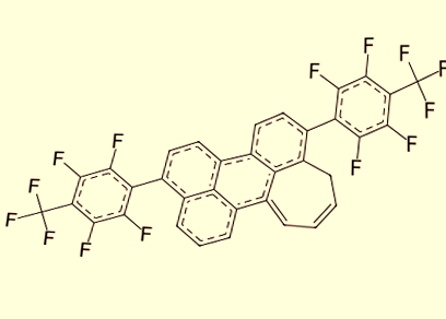 Fc1c(F)c(C(F)(F)F)c(F)c(F)c1-c1ccc2c3c1CC=CC=c3c1cccc3c(-c4c(F)c(F)c(C(F)(F)F)c(F)c4F)ccc2c31